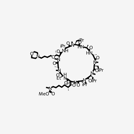 CC[C@@H]1NC(=O)[C@@H]2[C@@H]([C@H](C)CCCCCN(C)C(=O)OC)ON2C(=O)[C@H](C(C)C)N(C)C(=O)[C@H](CC(C)C)N(C)C(=O)[C@H](CC(C)C)N(C)C(=O)[C@@H](C)NC(=O)[C@H](C)NC(=O)[C@H](CC(C)C)N(C)C(=O)[C@H](C(C)C)NC(=O)[C@H]([C@@H](C)OCCCCN2CCOCC2)N(C)C(=O)[C@@H](C)N(C)C1=O